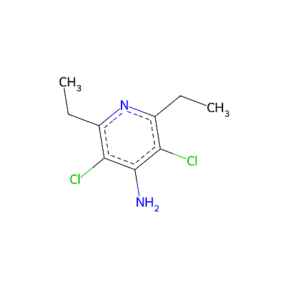 CCc1nc(CC)c(Cl)c(N)c1Cl